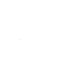 COCCN(C)Cc1nc(C(C)C)ccc1[C@@H]1CCOC1